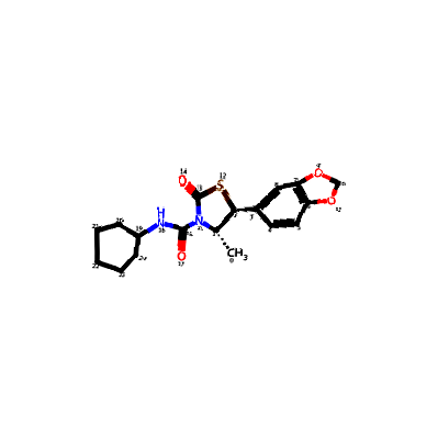 C[C@H]1[C@H](c2ccc3c(c2)OCO3)SC(=O)N1C(=O)NC1CCCCC1